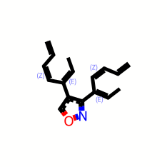 C=C/C=C\C(=C/C)c1conc1C(/C=C\C=C)=C/C